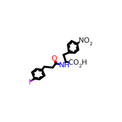 O=C(CCc1ccc(I)cc1)NC(Cc1ccc([N+](=O)[O-])cc1)C(=O)O